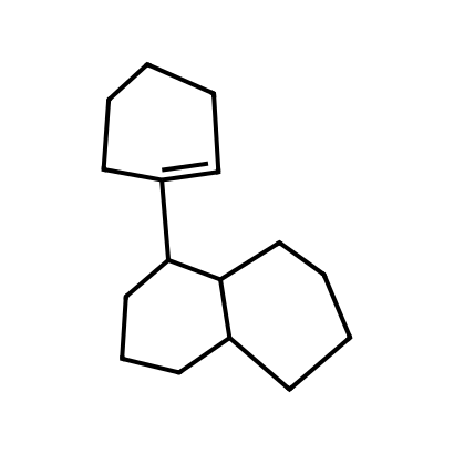 C1=C(C2CCCC3CCCCC32)CCCC1